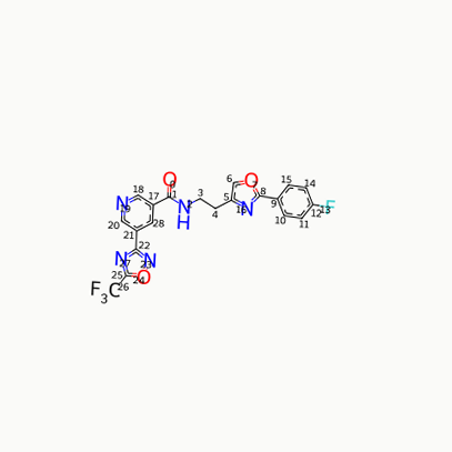 O=C(NCCc1coc(-c2ccc(F)cc2)n1)c1cncc(-c2noc(C(F)(F)F)n2)c1